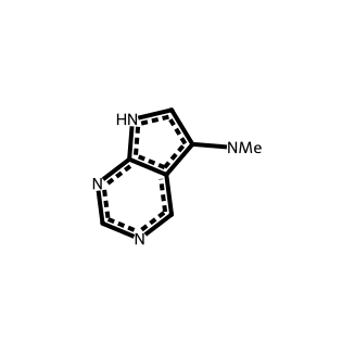 CNc1c[nH]c2ncncc12